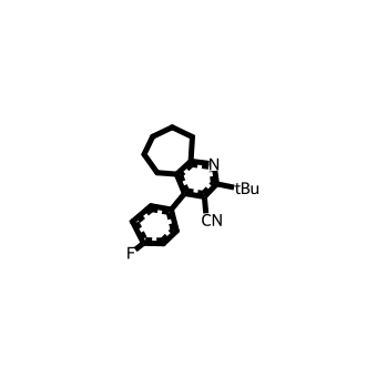 CC(C)(C)c1nc2c(c(-c3ccc(F)cc3)c1C#N)CCCCC2